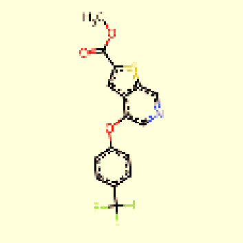 COC(=O)c1cc2c(Oc3ccc(C(F)(F)F)cc3)cncc2s1